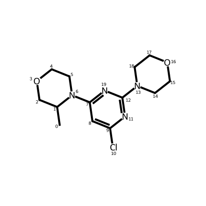 CC1COCCN1c1cc(Cl)nc(N2CCOCC2)n1